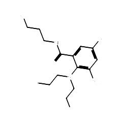 O=C(NCCCO)c1cc([N+](=O)[O-])cc([N+](=O)[O-])c1N(CCCl)CCCl